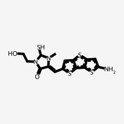 CN1/C(=C\c2cc3sc4cc(N)sc4c3s2)C(=O)N(CCO)C1S